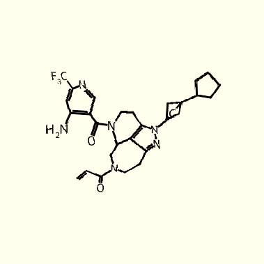 C=CC(=O)N1CCc2nn(C34CC(C5CCCC5)(C3)C4)c3c2C(C1)N(C(=O)c1cnc(C(F)(F)F)cc1N)CC3